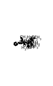 CCCC(=O)N(C)[C@H](COCCN1CCCCC1)C(=O)N(C)[C@@H](CC(C)(C)O)C(=O)N[C@H](C(=O)N(C)[C@@H](CC(C)C)C(N)=O)C(C)C